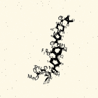 COC(=O)N[C@H](C(=O)N1C[Si](C)(C)C[C@H]1c1nc(-c2ccc(-c3cc(Cl)c(NC(=O)c4ccc(N5CCN(C(=O)[C@H]6CC6(C)C)C[C@H]5C)nc4)cc3OC(F)(F)F)cc2)c[nH]1)C(C)C